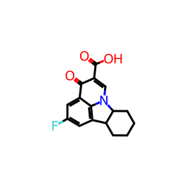 O=C(O)c1cn2c3c(cc(F)cc3c1=O)C1CCCCC12